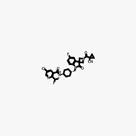 N#CC1(C(=O)N2CC3(C2)C(=O)N(C[C@H]2CC[C@H](NC(=O)c4cc(Cl)cnc4C(F)F)CC2)c2ccc(F)cc23)CC1